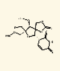 CCCCOC[C@@]1(CF)O[C@@H](n2ccc(=O)[nH]c2=O)[C@]2(COC(=S)O2)[C@@H]1OCCCC